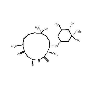 CO[C@]1(C)C[C@H](O[C@H]2CC[C@](C)(O)CCCN(C)C(=O)C[C@H](C(C)C)NC(=O)[C@@H]2C)O[C@@H](C)[C@@H]1O